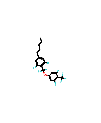 CCCCCc1cc(F)c(C(F)(F)Oc2cc(F)c(C(F)(F)F)c(F)c2)c(F)c1